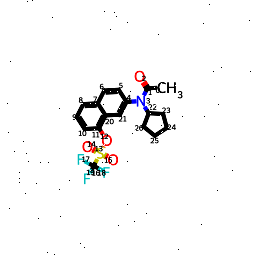 CC(=O)N(c1ccc2cccc(OS(=O)(=O)C(F)(F)F)c2c1)C1CCCC1